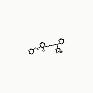 O=c1c(OCc2ccccc2)cccn1CCCCC(c1ccccc1)c1c[nH]nn1